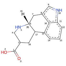 O=C(O)C1CN[C@@H]2Cc3c[nH]c4cccc(c34)C2C1